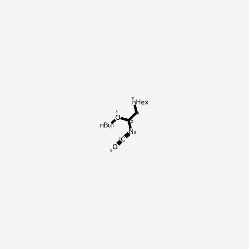 CCCCCCCC(N=C=O)OCCCC